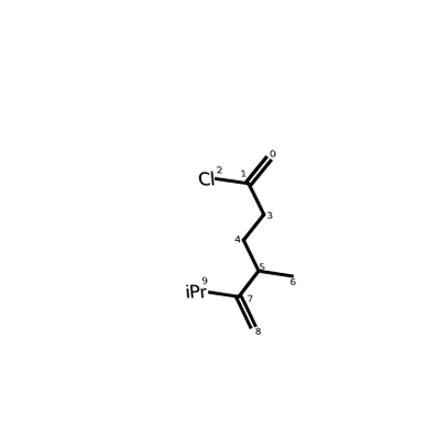 C=C(Cl)CCC(C)C(=C)C(C)C